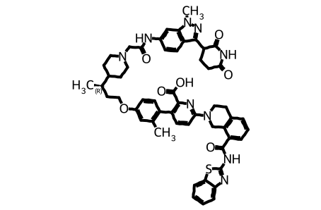 Cc1cc(OCC[C@@H](C)C2CCN(CC(=O)Nc3ccc4c(C5CCC(=O)NC5=O)nn(C)c4c3)CC2)ccc1-c1ccc(N2CCc3cccc(C(=O)Nc4nc5ccccc5s4)c3C2)nc1C(=O)O